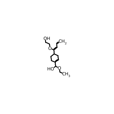 C=C/C=C(\OCCO)C1CC=C(C(O)OCC)CC1